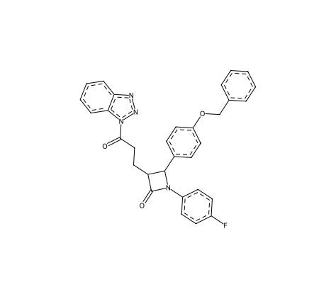 O=C1C(CCC(=O)n2nnc3ccccc32)C(c2ccc(OCc3ccccc3)cc2)N1c1ccc(F)cc1